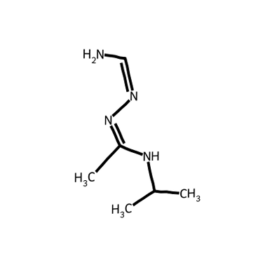 C/C(=N/N=C\N)NC(C)C